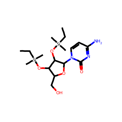 CC[Si](C)(C)OC1C(CO)OC(n2ccc(N)nc2=O)C1O[Si](C)(C)CC